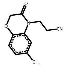 Cc1ccc2c(c1)N(CCC#N)C(=O)CO2